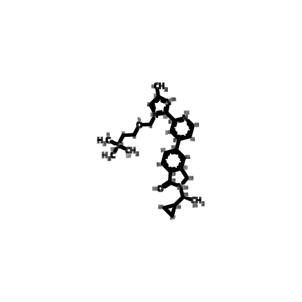 Cc1cn(COCCS(C)(C)C)c(-c2cc(-c3ccc4c(c3)CN([C@@H](C)C3CC3)C4=O)ccn2)n1